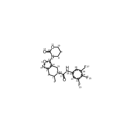 CC1Cc2noc(N3CCCOC3=O)c2CN1C(=O)Nc1cc(F)c(F)c(F)c1